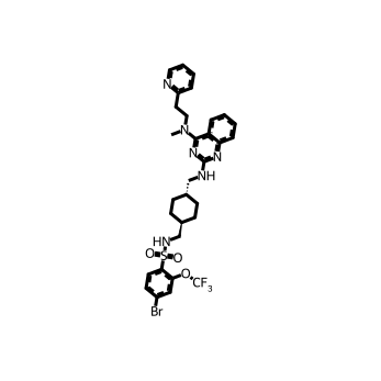 CN(CCc1ccccn1)c1nc(NC[C@H]2CC[C@H](CNS(=O)(=O)c3ccc(Br)cc3OC(F)(F)F)CC2)nc2ccccc12